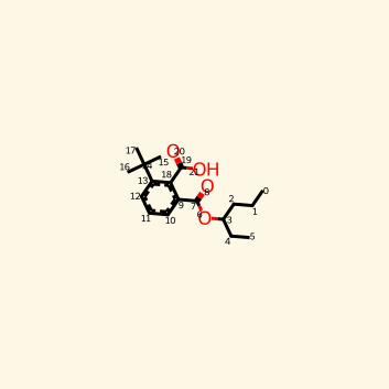 CCCC(CC)OC(=O)c1cccc(C(C)(C)C)c1C(=O)O